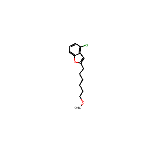 O=[C]OCCCCCCc1cc2c(Cl)cccc2o1